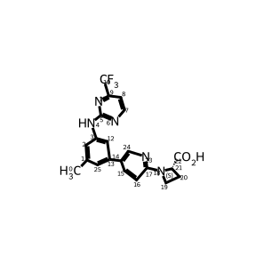 Cc1cc(Nc2nccc(C(F)(F)F)n2)cc(-c2ccc(N3CC[C@H]3C(=O)O)nc2)c1